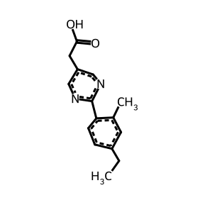 CCc1ccc(-c2ncc(CC(=O)O)cn2)c(C)c1